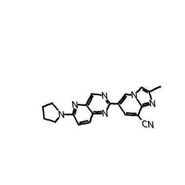 Cc1cn2cc(-c3ncc4nc(N5CCCC5)ccc4n3)cc(C#N)c2n1